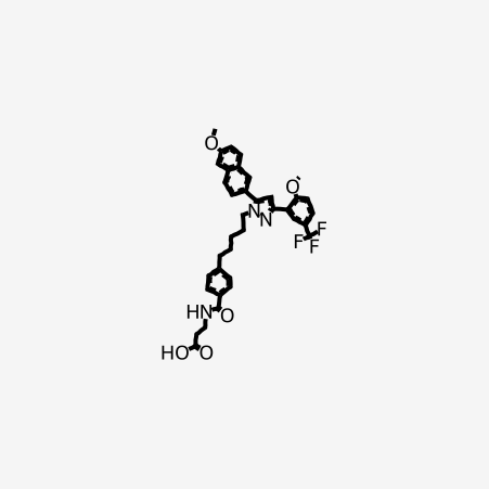 COc1ccc2cc(-c3cc(-c4cc(C(F)(F)F)ccc4OC)nn3CCCCCc3ccc(C(=O)NCCC(=O)O)cc3)ccc2c1